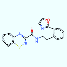 O=C(NCCc1ccccc1-c1ncco1)C1=Nc2ccccc2SN1